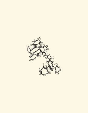 c1ccc(-c2nc(-c3ccccc3)nc(-c3cccc(-c4ccc5c(c4)c4ccccc4n4c6ccccc6c6c7ccccc7c7c8ccccc8n5c7c64)c3)n2)cc1